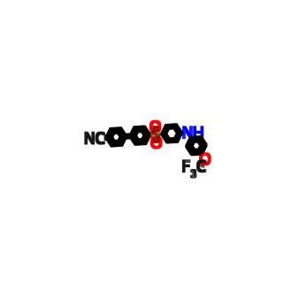 N#Cc1ccc(-c2ccc(S(=O)(=O)[C@H]3CC[C@H](Nc4ccc(OC(F)(F)F)cc4)CC3)cc2)cc1